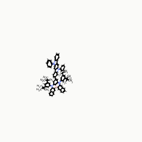 CC(C)(C)c1cc(N2c3cc4ccccc4cc3B3c4cc5ccccc5cc4N(c4cc(C(C)(C)C)cc(C(C)(C)C)c4)c4cc(-c5ccc6c7cc8c(cc7n(-c7ccccc7)c6c5)c5ccccc5n8-c5ccccc5)cc2c43)cc(C(C)(C)C)c1